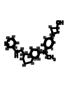 CN(c1ccc(N2CC(O)C2)cc1)c1ccc2c(c1)CCC[C@H]2CNc1cccnc1